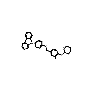 Ic1cc(COc2ccc([SH]3c4ccccc4-c4ccccc43)cc2)ccc1OC1CCCCO1